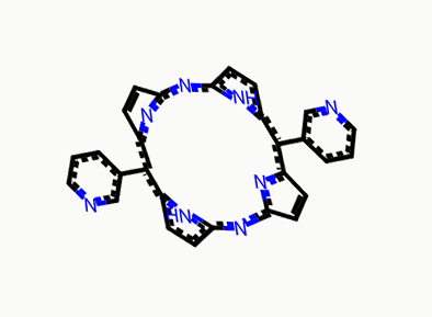 C1=Cc2nc1nc1ccc([nH]1)c(-c1cccnc1)c1nc(nc3ccc([nH]3)c2-c2cccnc2)C=C1